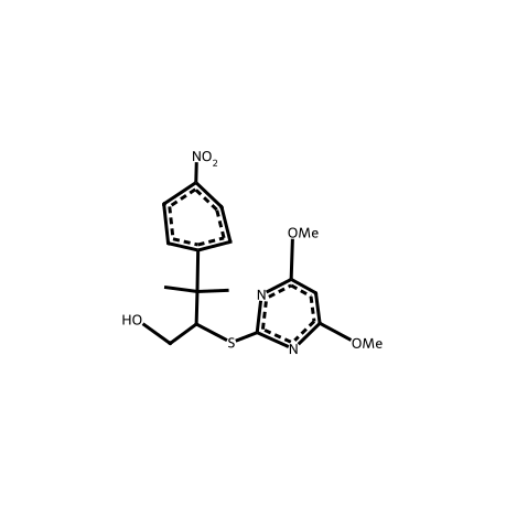 COc1cc(OC)nc(SC(CO)C(C)(C)c2ccc([N+](=O)[O-])cc2)n1